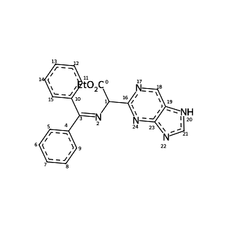 CCOC(=O)C(N=C(c1ccccc1)c1ccccc1)c1ncc2[nH]cnc2n1